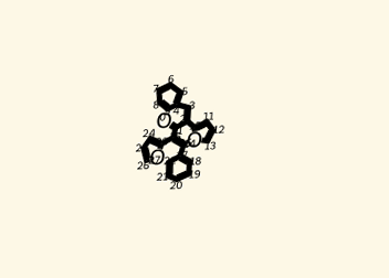 O=C(C(=Cc1ccccc1)c1ccco1)C(=Cc1ccccc1)c1ccco1